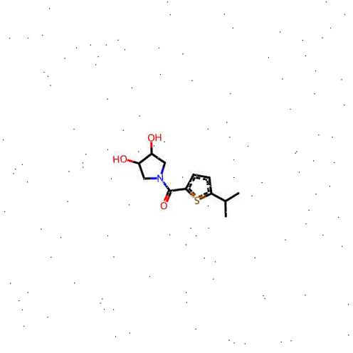 CC(C)c1ccc(C(=O)N2CC(O)C(O)C2)s1